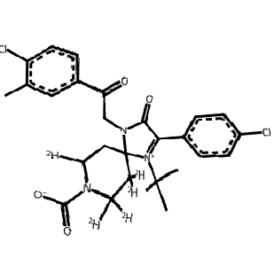 [2H]C1CC2(N(CC(=O)c3ccc(Cl)c(C)c3)C(=O)C(c3ccc(Cl)cc3)=[N+]2C(C)(C)C)C([2H])([2H])C([2H])([2H])N1C(=O)[O-]